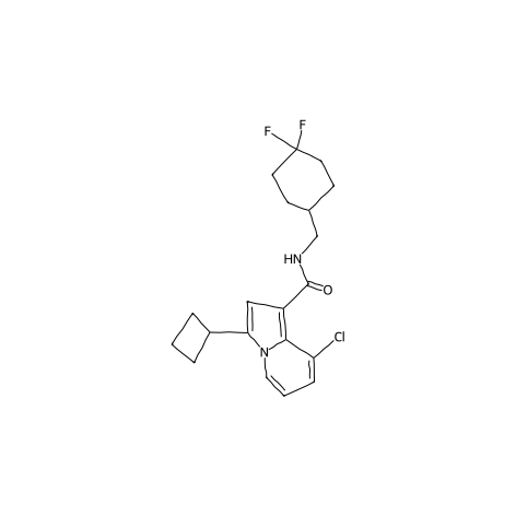 O=C(NCC1CCC(F)(F)CC1)c1cc(C2CCC2)n2cccc(Cl)c12